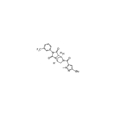 Cn1nc(C(C)(C)C)cc1C(=O)N1C[C@@H]2C[C@H]1[C@@H]1C(=O)N(c3cccc(C(F)(F)F)c3)C(=O)N21